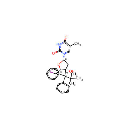 Cc1cn([C@H]2C[C@@](O)([Si](c3ccccc3)(c3ccccc3)C(C)(C)C)[C@@H](CI)O2)c(=O)[nH]c1=O